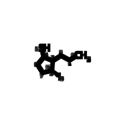 CCCC1C(S)CC[C@@H]1I